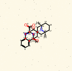 O=C(O)c1nc2ccccc2c(=O)n1[C@H]1C[C@H]2CCC[C@@H](C1)N2[C@H]1C[C@@H]2CCC[C@@H](C2)C1